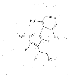 Cc1cccc(C)c1-c1cc(C(F)(F)F)c(F)c([C@@H](N)CC(=O)O)c1F